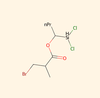 CCCC(OC(=O)C(C)CBr)[SiH](Cl)Cl